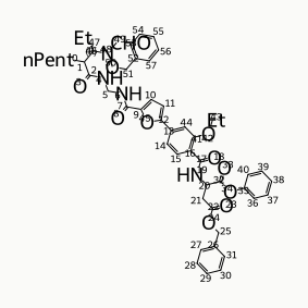 CCCCCC(C(=O)NCNC(=O)c1ccc(-c2ccc(C(=O)NC(CC(=O)OCc3ccccc3)C(=O)Oc3ccccc3)c(OCC)c2)o1)[C@@H](CC)N(C=O)OCc1ccccc1